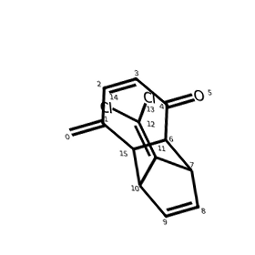 C=C1C=CC(=O)C2C3C=CC(C3=C(Cl)Cl)C12